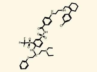 CCN(CC)CC[C@H](CSc1ccccc1)Nc1ccc(S(=O)(=O)NC(=O)c2ccc(NCCNCC3=C(c4ccc(Cl)cc4)CCCC3)cc2)cc1S(=O)(=O)C(F)(F)F